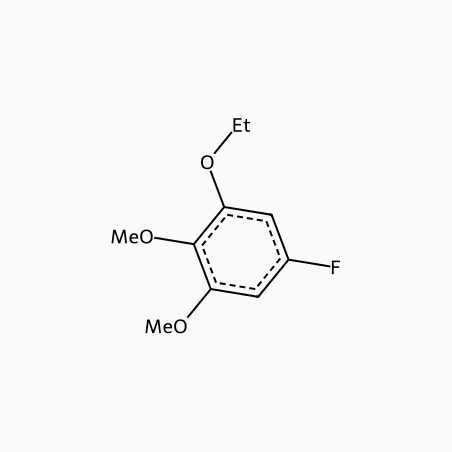 CCOc1cc(F)cc(OC)c1OC